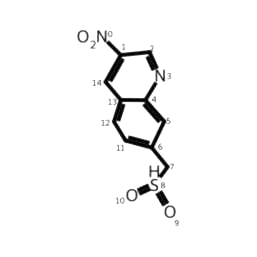 O=[N+]([O-])c1cnc2cc(C[SH](=O)=O)ccc2c1